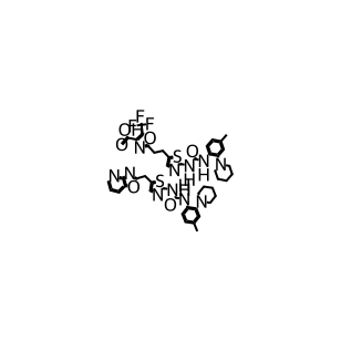 Cc1ccc(NC(=O)Nc2ncc(CCc3nc(C(=O)O)c(C(F)(F)F)o3)s2)c(N2CCCCC2)c1.Cc1ccc(NC(=O)Nc2ncc(Cc3nc4ncccc4o3)s2)c(N2CCCCC2)c1